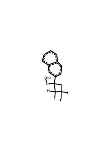 O=COC1(c2ccc3ccccc3c2)CC(F)(F)C1(F)F